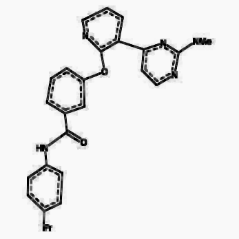 CNc1nccc(-c2cccnc2Oc2cccc(C(=O)Nc3ccc(C(C)C)cc3)c2)n1